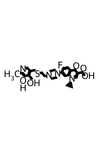 Cc1ncc(CSCCN2CCN(c3cc4c(cc3F)c(=O)c(C(=O)O)cn4C3CC3)CC2)c(CO)c1O